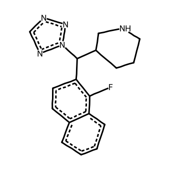 Fc1c(C(C2CCCNC2)n2ncnn2)ccc2ccccc12